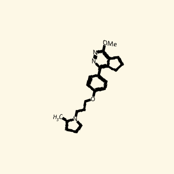 COc1nnc(-c2ccc(OCCCN3CCCC3C)cc2)c2c1CCC2